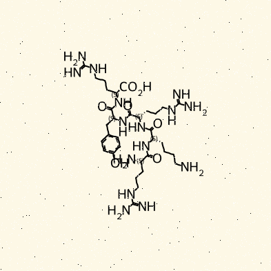 N=C(N)NCCC[C@H](NC(=O)[C@H](Cc1ccc(O)cc1)NC(=O)[C@H](CCCNC(=N)N)NC(=O)[C@H](CCCCN)NC(=O)[C@@H](N)CCCNC(=N)N)C(=O)O